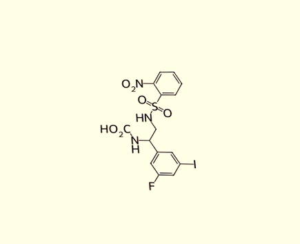 O=C(O)NC(CNS(=O)(=O)c1ccccc1[N+](=O)[O-])c1cc(F)cc(I)c1